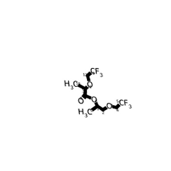 CC(COCC(F)(F)F)OC(=O)C(C)OCC(F)(F)F